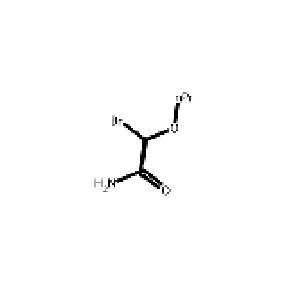 CCCOC(Br)C(N)=O